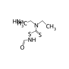 CCN(CC)C(=S)SNC=O.[NaH]